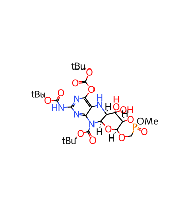 COP1(=O)CO[C@H]2O[C@@H]3[C@@H](Nc4c(OC(=O)OC(C)(C)C)nc(NC(=O)OC(C)(C)C)nc4N3C(=O)OC(C)(C)C)C(O)(O)[C@H]2O1